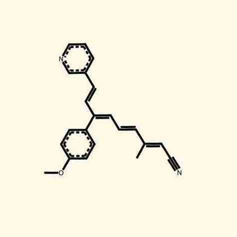 COc1ccc(C(=C\C=C\C(C)=C\C#N)/C=C/c2cccnc2)cc1